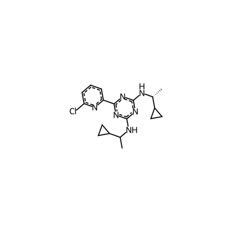 CC(Nc1nc(N[C@H](C)C2CC2)nc(-c2cccc(Cl)n2)n1)C1CC1